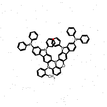 Cc1ccccc1N1c2cc3c4ccc(N(c5ccccc5)c5ccccc5)cc4n(-c4ccccc4)c3cc2B2c3cc4c(cc3Oc3cccc1c32)c1ccc(N(c2ccccc2)c2ccccc2)cc1n4-c1ccccc1